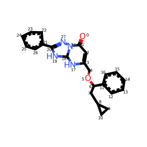 O=C1C=C(COC(CC2CC2)c2ccccc2)NC2NC(c3ccccc3)=NN12